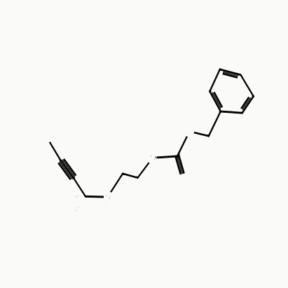 CC#C[C@@H](CC)NCCNC(=O)OCc1ccccc1